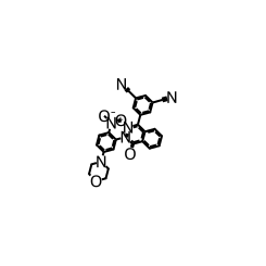 N#Cc1cc(C#N)cc(-c2nn(-c3cc(N4CCOCC4)ccc3[N+](=O)[O-])c(=O)c3ccccc23)c1